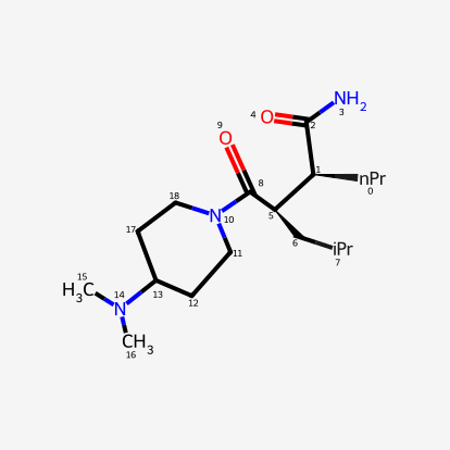 CCC[C@H](C(N)=O)[C@@H](CC(C)C)C(=O)N1CCC(N(C)C)CC1